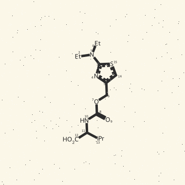 CCN(CC)c1nc(COC(=O)NC(C(=O)O)C(C)C)cs1